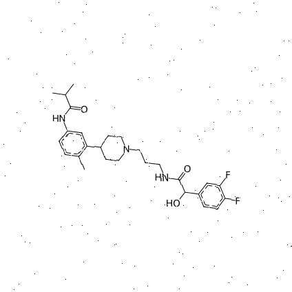 Cc1ccc(NC(=O)C(C)C)cc1C1CCN(CCCNC(=O)C(O)c2ccc(F)c(F)c2)CC1